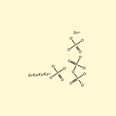 O=P([O-])([O-])OP(=O)([O-])[O-].O=P([O-])([O-])[O-].O=P([O-])([O-])[O-].[Ca+2].[Ca+2].[Ca+2].[Zn+2].[Zn+2]